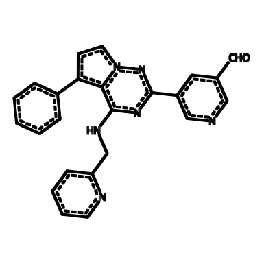 O=Cc1cncc(-c2nc(NCc3ccccn3)c3c(-c4ccccc4)ccn3n2)c1